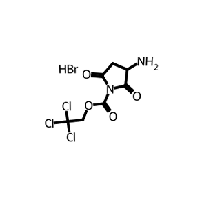 Br.NC1CC(=O)N(C(=O)OCC(Cl)(Cl)Cl)C1=O